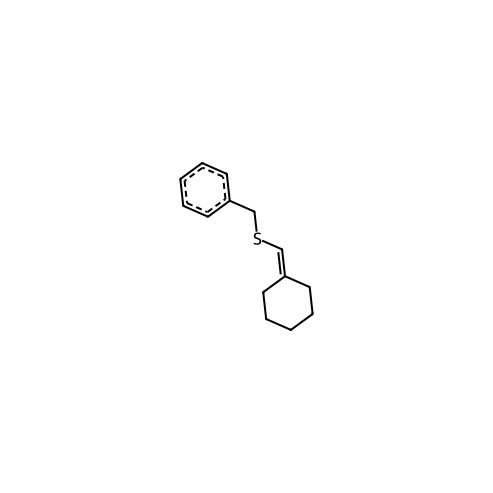 C(SCc1ccccc1)=C1CCCCC1